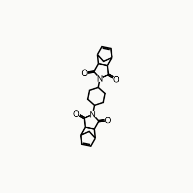 O=C1C2C3C=CC(C3)C2C(=O)N1C1CCC(N2C(=O)C3C4C=CC(C4)C3C2=O)CC1